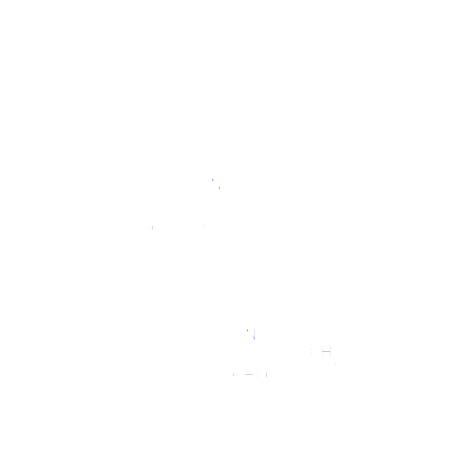 C=CN(C=O)CCC(=O)NC1CCCCC1